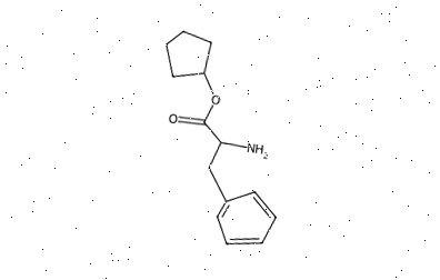 NC(Cc1ccccc1)C(=O)OC1CCCC1